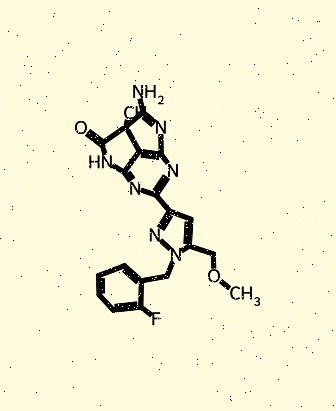 COCc1cc(-c2nc3c4c(n2)NC(=O)C4(C)C(N)=N3)nn1Cc1ccccc1F